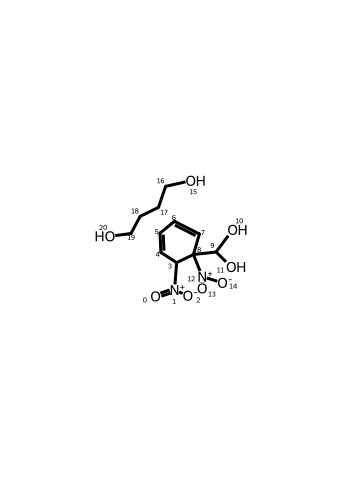 O=[N+]([O-])C1C=CC=CC1(C(O)O)[N+](=O)[O-].OCCCCO